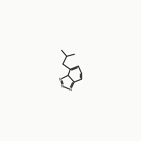 CC(C)CC1=CC=CC2=NN=NC12